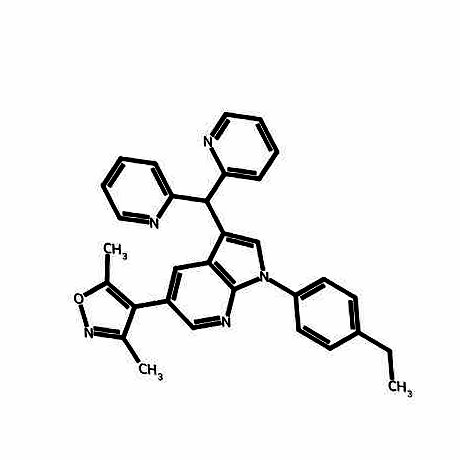 CCc1ccc(-n2cc(C(c3ccccn3)c3ccccn3)c3cc(-c4c(C)noc4C)cnc32)cc1